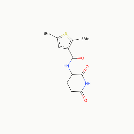 CSc1sc(C(C)(C)C)cc1C(=O)NC1CCC(=O)NC1=O